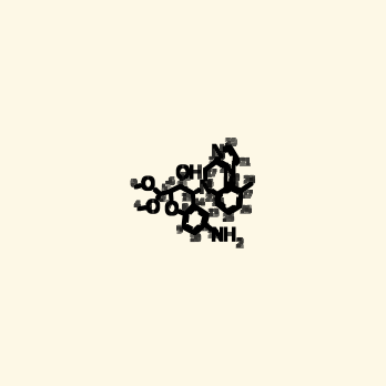 COC(OC)[C@]1(C)Oc2ccc(N)cc2[C@H](N(Cc2ncc[nH]2)c2cccc(C)c2C)[C@H]1O